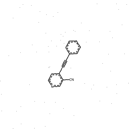 N#Cc1cnccc1C#Cc1ccccc1